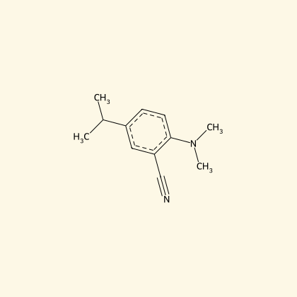 CC(C)c1ccc(N(C)C)c(C#N)c1